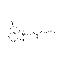 C[S+](C)[O-].NCCNCCN.Oc1ccccc1O